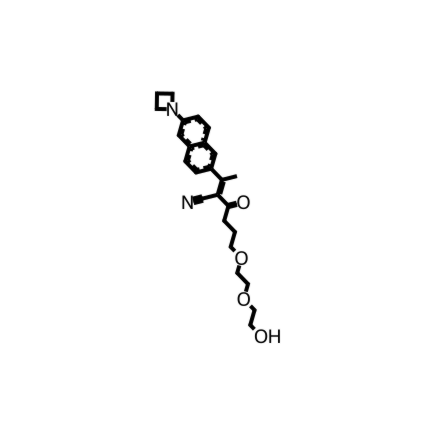 C/C(=C(/C#N)C(=O)CCCOCCOCCO)c1ccc2cc(N3CCC3)ccc2c1